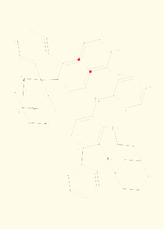 CCC1CC2CCCC(C2)C12c1ccccc1-c1ccc(N(c3ccc4c(c3)C3(c5ccccc5-4)C4CC5CC(C4)CC3C5)c3ccccc3-c3ccccc3)cc12